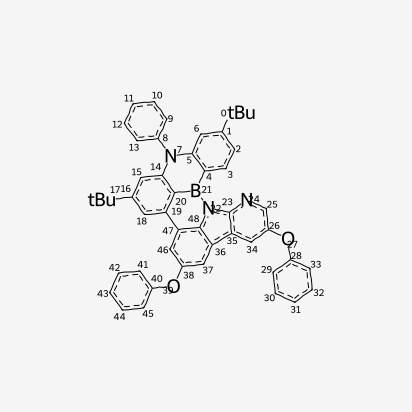 CC(C)(C)c1ccc2c(c1)N(c1ccccc1)c1cc(C(C)(C)C)cc3c1B2n1c2ncc(Oc4ccccc4)cc2c2cc(Oc4ccccc4)cc-3c21